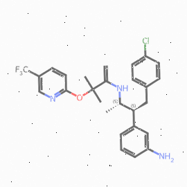 C=C(N[C@@H](C)[C@@H](Cc1ccc(Cl)cc1)c1cccc(N)c1)C(C)(C)Oc1ccc(C(F)(F)F)cn1